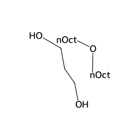 CCCCCCCCOCCCCCCCC.OCCCO